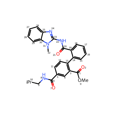 COC(=O)c1cc(C(=O)NCC(C)C)ccc1-c1ccccc1C(=O)Nc1nc2ccccc2n1C